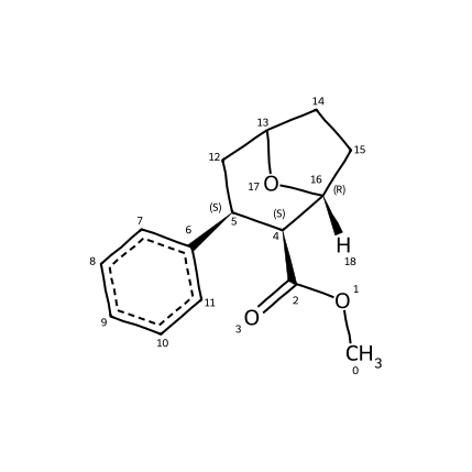 COC(=O)[C@H]1[C@@H](c2ccccc2)CC2CC[C@H]1O2